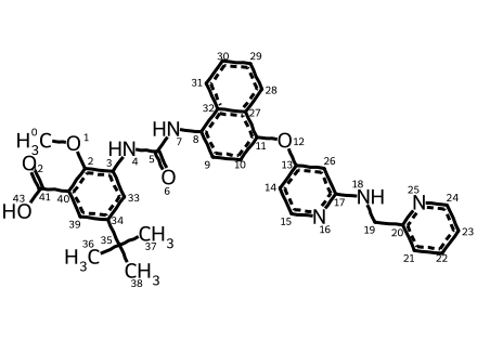 COc1c(NC(=O)Nc2ccc(Oc3ccnc(NCc4ccccn4)c3)c3ccccc23)cc(C(C)(C)C)cc1C(=O)O